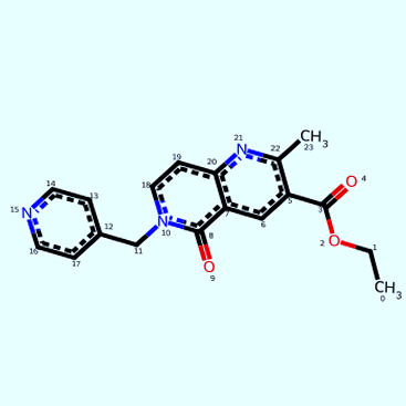 CCOC(=O)c1cc2c(=O)n(Cc3ccncc3)ccc2nc1C